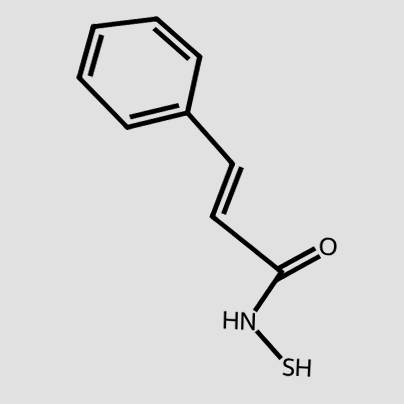 O=C(C=Cc1ccccc1)NS